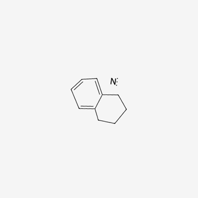 [N].c1ccc2c(c1)CCCC2